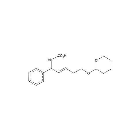 O=C(O)NC(C=CCCOC1CCCCO1)c1ccccc1